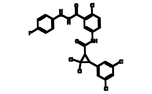 O=C(NNc1ccc(F)cc1)c1cc(NC(=O)C2C(c3cc(Cl)cc(Cl)c3)C2(Cl)Cl)ccc1Cl